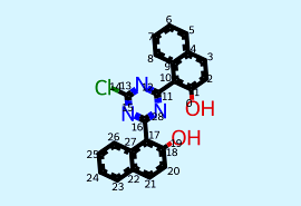 Oc1ccc2ccccc2c1-c1nc(Cl)nc(-c2c(O)ccc3ccccc23)n1